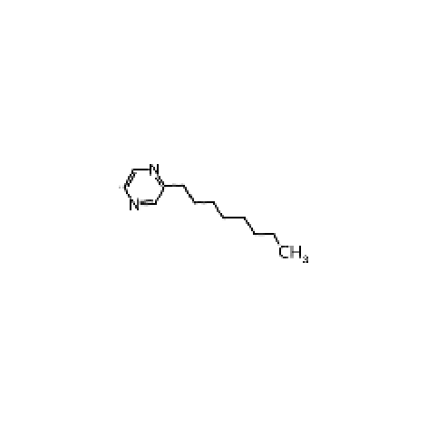 CCCCCCCCc1cn[c]cn1